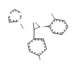 Cc1ccc([C@@]2(Cn3cncn3)O[C@H]2c2ccccc2F)cc1